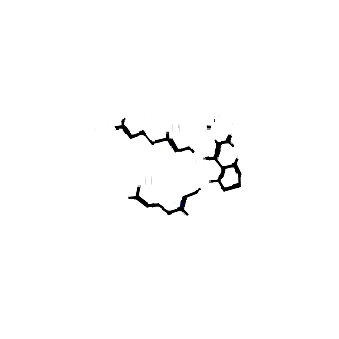 CCCCCCCCCCOc1c(OC/C=C(\C)CCC=C(C)C)c2c(OC/C=C(\C)CCC=C(C)C)cccc2oc1=O